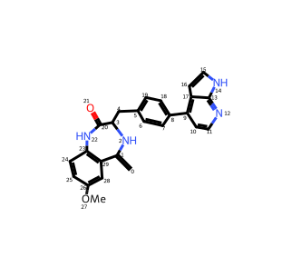 C=C1NC(Cc2ccc(-c3ccnc4[nH]ccc34)cc2)C(=O)Nc2ccc(OC)cc21